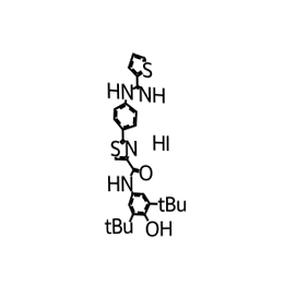 CC(C)(C)c1cc(NC(=O)c2csc(-c3ccc(NC(=N)c4cccs4)cc3)n2)cc(C(C)(C)C)c1O.I